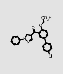 O=C(O)COc1ccc(-c2ccc(Cl)cc2)cc1C(=O)C1C=NN(c2ccccc2)C1